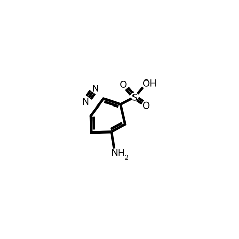 N#N.Nc1cccc(S(=O)(=O)O)c1